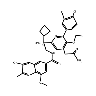 CCOc1c(CC(N)=O)cc([C@@](O)(CNC(=O)c2cc(OC)c3nc(C)c(Cl)cc3c2)C2CCC2)nc1-c1ccc(Cl)c(F)c1